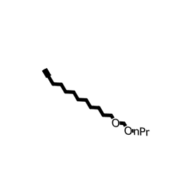 C#CCCCCCCCCCCOCOCCC